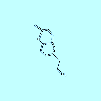 C=CCc1ccc2oc(=O)ccc2c1